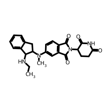 CCNC1c2ccccc2CC1N(C)c1ccc2c(c1)C(=O)N(C1CCC(=O)NC1=O)C2=O